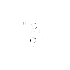 CCc1cccc(N(C)C(=N)Nc2cccc(C)c2)c1